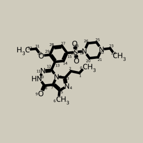 CCCc1nc(C)c2c(=O)[nH]nc(-c3cc(S(=O)(=O)N4CCN(CC)CC4)ccc3OCC)n12